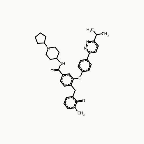 CC(C)c1ccc(-c2ccc(Oc3cc(C(=O)NC4CCN(C5CCCC5)CC4)ccc3Cc3cccn(C)c3=O)cc2)nn1